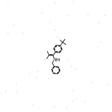 CC(C)=C(NCc1ccccc1)c1ccc(C(C)(C)C)cc1